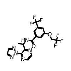 CC(NC(=O)c1cc(OCC(F)(F)F)cc(C(F)(F)F)c1)c1nccnc1-n1nccn1